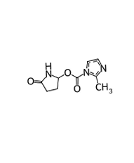 Cc1nccn1C(=O)OC1CCC(=O)N1